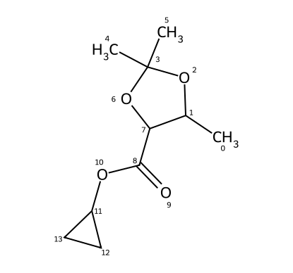 CC1OC(C)(C)OC1C(=O)OC1CC1